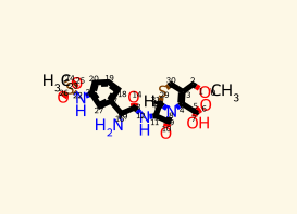 COCC1=C(C(=O)O)N2C(=O)C(NC(=O)[C@H](N)c3cccc(NS(C)(=O)=O)c3)[C@@H]2SC1